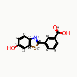 O=C(O)c1cccc(-c2nc3ccc(O)cc3s2)c1